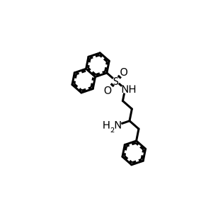 NC(CCNS(=O)(=O)c1cccc2ccccc12)Cc1ccccc1